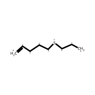 C=CCC[CH]SCCC